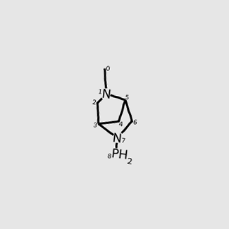 CN1CC2CC1CN2P